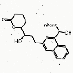 CCCCC[C@@H](O)c1nc(CC[C@@H](O)[C@@H]2CCCC(=O)O2)cc2ccccc12